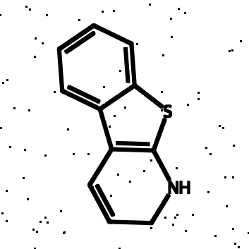 C1=Cc2c(sc3ccccc23)NC1